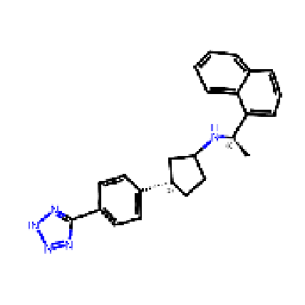 C[C@@H](NC1CC[C@H](c2ccc(-c3nn[nH]n3)cc2)C1)c1cccc2ccccc12